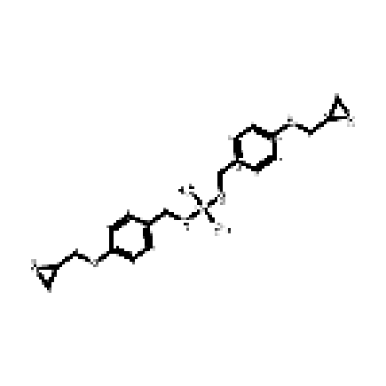 C[Si](C)(OCc1ccc(OCC2CO2)cc1)OCc1ccc(OCC2CO2)cc1